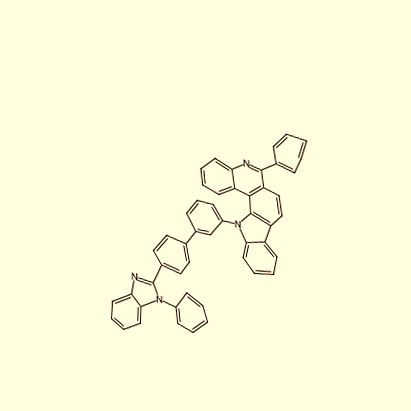 c1ccc(-c2nc3ccccc3c3c2ccc2c4ccccc4n(-c4cccc(-c5ccc(-c6nc7ccccc7n6-c6ccccc6)cc5)c4)c23)cc1